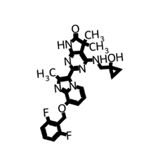 Cc1nc2c(OCc3c(F)cccc3F)cccn2c1-c1nc(NCC2(O)CC2)c2c(n1)NC(=O)C2(C)C